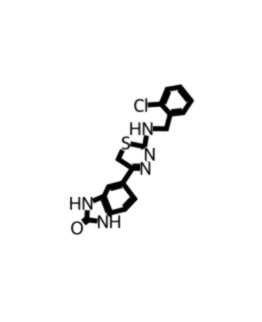 O=c1[nH]c2ccc(C3=NN=C(NCc4ccccc4Cl)SC3)cc2[nH]1